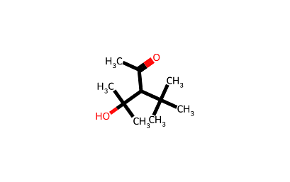 CC(=O)C(C(C)(C)C)C(C)(C)O